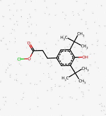 CC(C)(C)c1cc(CCC(=O)OCl)cc(C(C)(C)C)c1O